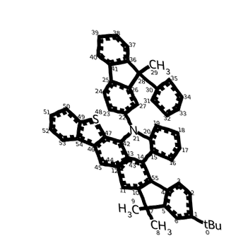 CC(C)(C)c1ccc2c(c1)C(C)(C)c1cccc(-c3ccccc3N(c3ccc4c(c3)C(C)(c3ccccc3)c3ccccc3-4)c3cccc4c3sc3ccccc34)c1-2